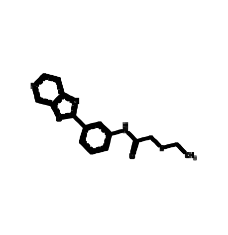 CCSCC(=O)Nc1cccc(-c2nc3ccncc3o2)c1